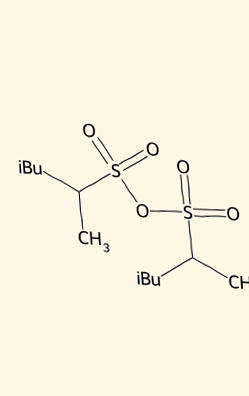 CCC(C)C(C)S(=O)(=O)OS(=O)(=O)C(C)C(C)CC